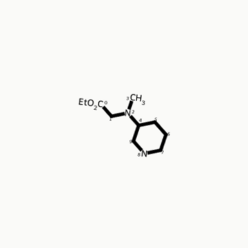 CCOC(=O)CN(C)C1CCC[N]C1